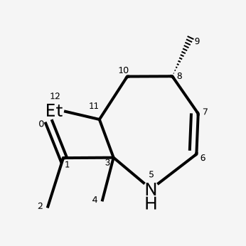 C=C(C)C1(C)NC=C[C@@H](C)CC1CC